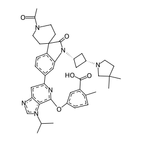 CC(=O)N1CCC2(CC1)C(=O)N([C@H]1C[C@@H](N3CCC(C)(C)C3)C1)c1cc(-c3cc4ncn(C(C)C)c4c(Oc4ccc(C)c(C(=O)O)c4)n3)ccc12